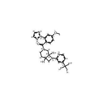 COc1ccc(C(=O)N2CC[C@H]3CN(c4cc(C(F)(F)F)ccn4)[C@H]3C2)c(-n2nccn2)c1